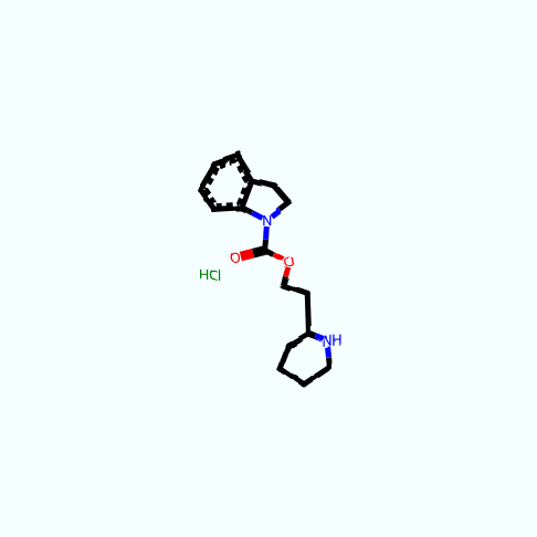 Cl.O=C(OCCC1CCCCN1)N1CCc2ccccc21